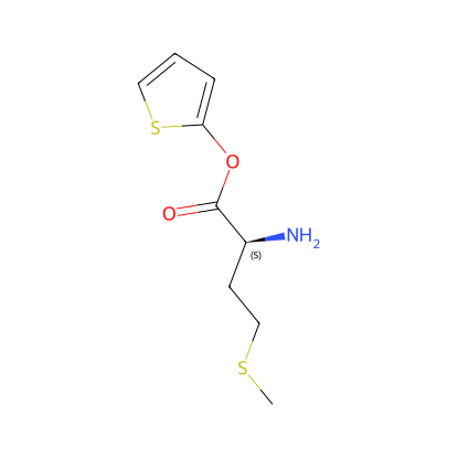 CSCC[C@H](N)C(=O)Oc1cccs1